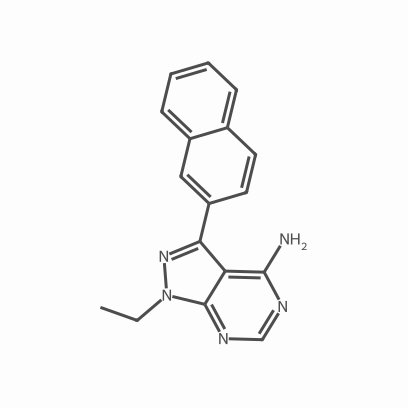 CCn1nc(-c2ccc3ccccc3c2)c2c(N)ncnc21